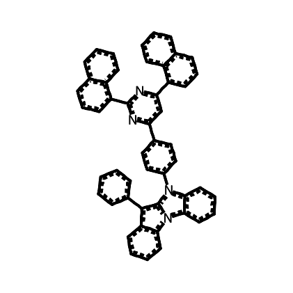 c1ccc(-c2c3ccccc3n3c4ccccc4n(-c4ccc(-c5cc(-c6cccc7ccccc67)nc(-c6cccc7ccccc67)n5)cc4)c23)cc1